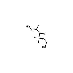 CC(CO)C1CC(CO)C1(C)C